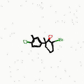 Cc1cc(C2(C)CCCC(Br)C2=O)ccc1Cl